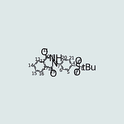 CC(C)(C)S(=O)(=O)c1ccc(-n2[nH]c(=O)c3ccccc3c2=O)cc1